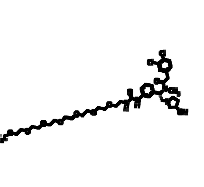 COCCOCCOCCOCCOCCOCCOCCNC(=O)Nc1cccc([C@@H](CN2CC[C@@H](O)C2)N(C)C(=O)Cc2ccc(Cl)c(Cl)c2)c1